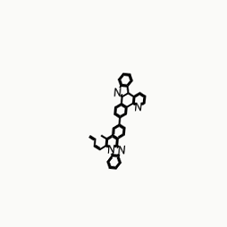 C=C/C=C\c1c(C)c2cc(-c3ccc4c(c3)-c3ncccc3C3C4=Nc4ccccc43)ccc2c2nc3ccccc3n12